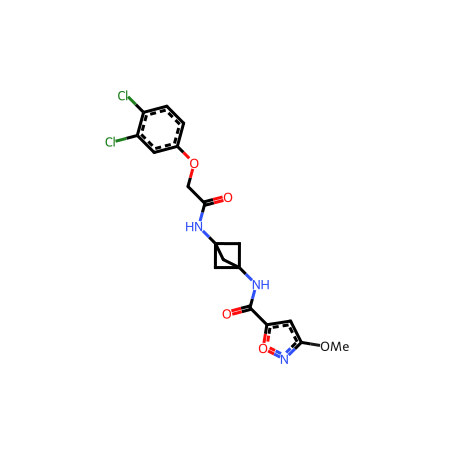 COc1cc(C(=O)NC23CC(NC(=O)COc4ccc(Cl)c(Cl)c4)(C2)C3)on1